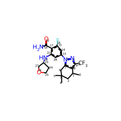 CC1CC(C)(C)Cc2c1c(C(F)(F)F)nn2-c1cc(F)c(C(N)=O)c(N[C@H]2CCOC2)c1